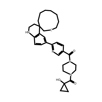 O=C(c1ccc(-c2ccc3c(c2)C2(CCCCCCCCC2)CCN3)nc1)N1CCN(C(=O)C2(O)CC2)CC1